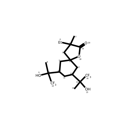 CCC1(C)CC2(CC(C(C)(O)C(F)(F)F)CC(C(C)(O)C(F)(F)F)C2)OC1=O